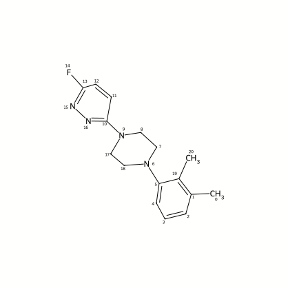 Cc1cccc(N2CCN(c3ccc(F)nn3)CC2)c1C